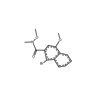 COc1cc(C(=O)N(C)OC)c(Br)c2ccccc12